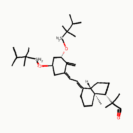 C=C1/C(=C\C=C2/CCC[C@]3(C)[C@@H](C(C)(C)C=O)CC[C@@H]23)C[C@@H](O[SiH2]C(C)(C)C(C)C)C[C@@H]1O[SiH2]C(C)(C)C(C)C